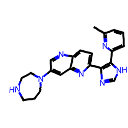 Cc1cccc(-c2[nH]cnc2-c2ccc3ncc(N4CCCNCC4)cc3n2)n1